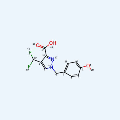 COc1ccc(Cn2cc(C(F)F)c(C(=O)O)n2)cc1